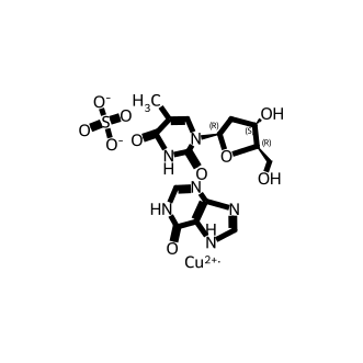 Cc1cn([C@H]2C[C@H](O)[C@@H](CO)O2)c(=O)[nH]c1=O.O=S(=O)([O-])[O-].O=c1[nH]cnc2nc[nH]c12.[Cu+2]